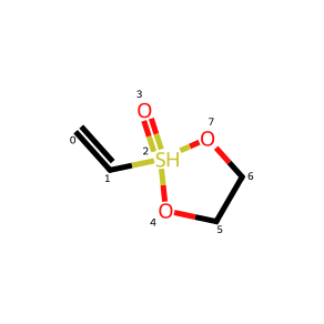 C=C[SH]1(=O)OCCO1